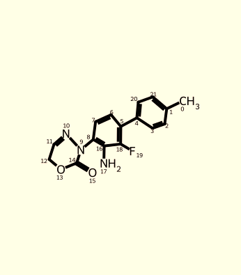 Cc1ccc(-c2ccc(N3N=CCOC3=O)c(N)c2F)cc1